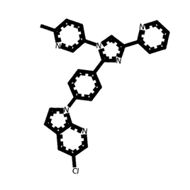 Cc1ccc(-n2cc(-c3ccccn3)nc2-c2ccc(-n3ccc4cc(Cl)cnc43)cc2)cn1